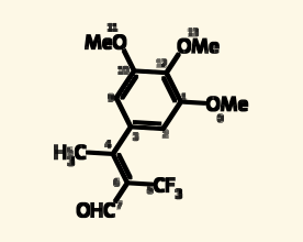 COc1cc(C(C)=C(C=O)C(F)(F)F)cc(OC)c1OC